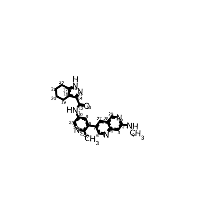 CNc1cc2ncc(-c3cc(NC(=O)c4n[nH]c5c4CCCC5)cnc3C)cc2cn1